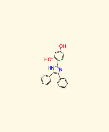 Oc1ccc(-c2nc(-c3ccccc3)c(-c3ccccc3)[nH]2)c(O)c1